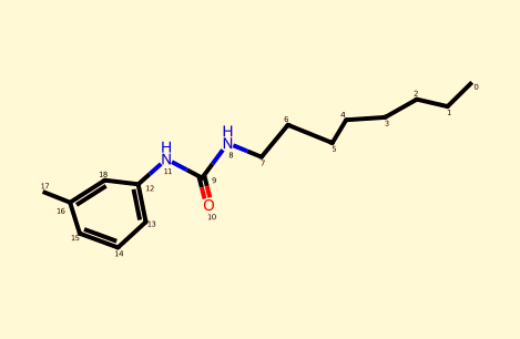 CCCCCCCCNC(=O)Nc1cccc(C)c1